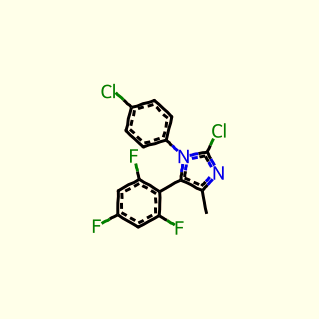 Cc1nc(Cl)n(-c2ccc(Cl)cc2)c1-c1c(F)cc(F)cc1F